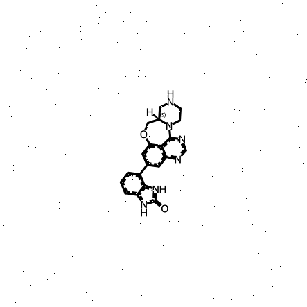 O=c1[nH]c2cccc(-c3cc4c5c(ncnc5c3)N3CCNC[C@H]3CO4)c2[nH]1